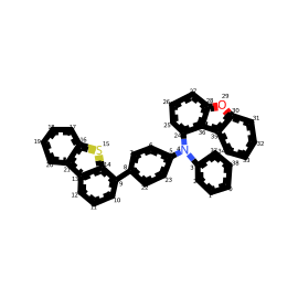 c1ccc(N(c2ccc(-c3cccc4c3sc3ccccc34)cc2)c2cccc3oc4ccccc4c23)cc1